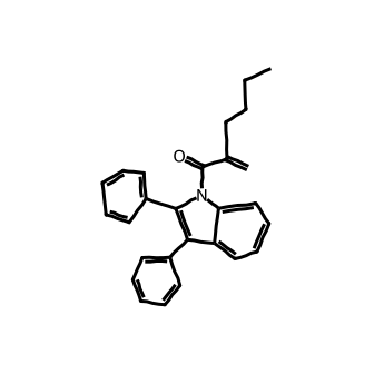 C=C(CCCC)C(=O)n1c(-c2ccccc2)c(-c2ccccc2)c2ccccc21